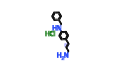 Cl.NC/C=C/c1ccc(NCc2ccccc2)cc1